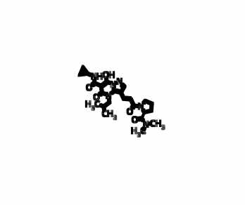 CC(C)Cn1c(=O)c(C(=O)NC2CC2)c(O)n2ncc(/C=C/C(=O)N3CCC[C@H]3C(=O)N(C)C)c12